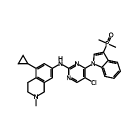 CN1CCc2c(cc(Nc3ncc(Cl)c(-n4cc(P(C)(C)=O)c5ccccc54)n3)cc2C2CC2)C1